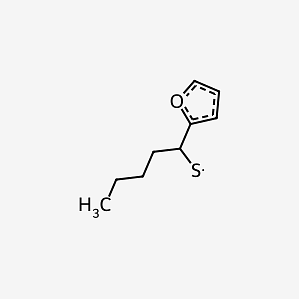 CCCCC([S])c1ccco1